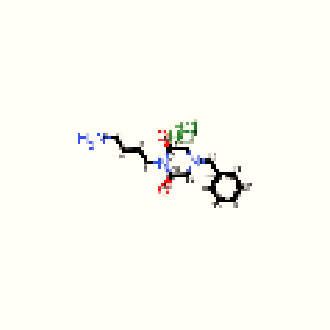 Cl.Cl.NCCCCN1C(=O)CN(Cc2ccccc2)CC1=O